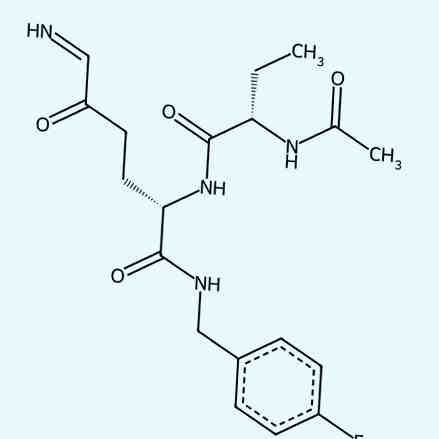 CC[C@H](NC(C)=O)C(=O)N[C@@H](CCC(=O)C=N)C(=O)NCc1ccc(F)cc1